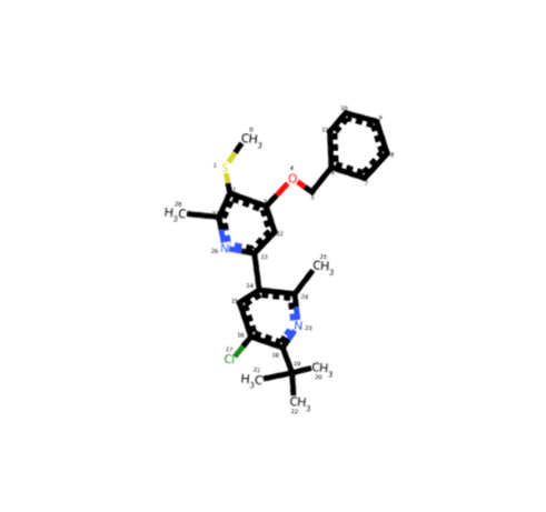 CSc1c(OCc2ccccc2)cc(-c2cc(Cl)c(C(C)(C)C)nc2C)nc1C